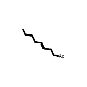 CC=CCC=CCCC(C)=O